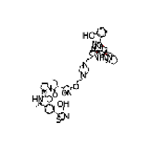 CCC(C(=O)N1CCC[C@H]1C(=O)N[C@@H](C)c1ccc(-c2scnc2CO)cc1)c1cc(OCCN2CCN(CCOc3cc(N4C5CCC4CN(c4cc(-c6ccccc6O)nnc4N)C5)ccn3)CC2)no1